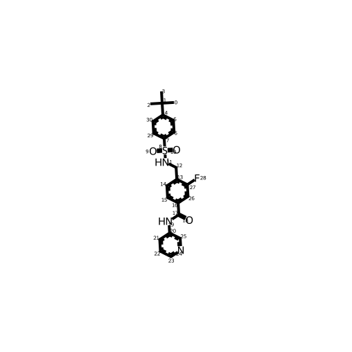 CC(C)(C)c1ccc(S(=O)(=O)NCc2ccc(C(=O)Nc3cccnc3)cc2F)cc1